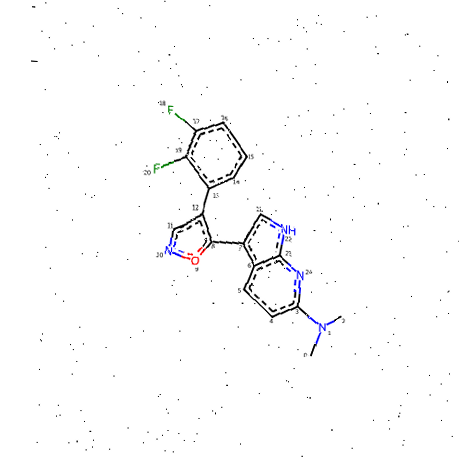 CN(C)c1ccc2c(-c3oncc3-c3cccc(F)c3F)c[nH]c2n1